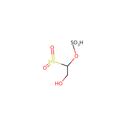 O=[SH](=O)C(CO)OS(=O)(=O)O